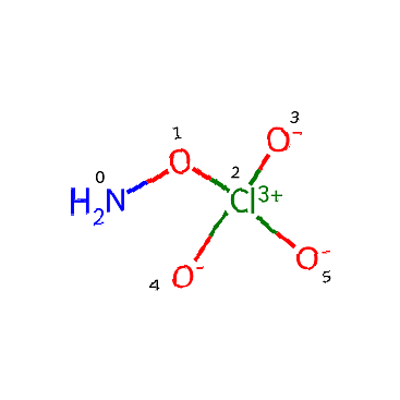 NO[Cl+3]([O-])([O-])[O-]